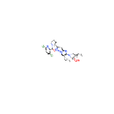 Cc1cn2nc([C@@H]3CCCCN3C(=O)c3nc(Cl)ccc3Cl)cc2nc1N1C[C@@H](C)[C@@H](O)C1